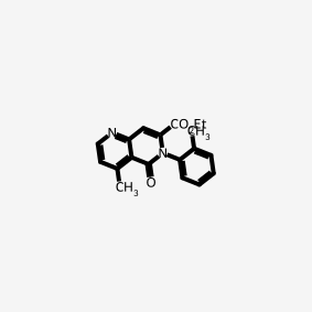 CCOC(=O)c1cc2nccc(C)c2c(=O)n1-c1ccccc1C